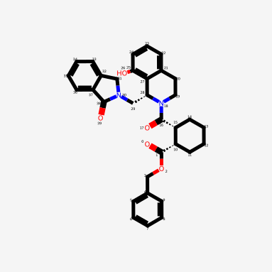 O=C(OCc1ccccc1)[C@H]1CCCC[C@H]1C(=O)N1CCc2cccc(O)c2[C@H]1CN1Cc2ccccc2C1=O